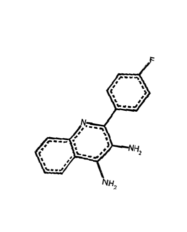 Nc1c(-c2ccc(F)cc2)nc2ccccc2c1N